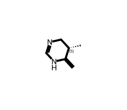 C=C1NC=NC[C@@H]1C